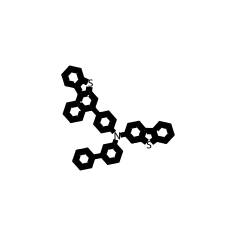 c1ccc(-c2cccc(N(c3ccc(-c4cc5sc6ccccc6c5c5ccccc45)cc3)c3ccc4c(c3)sc3ccccc34)c2)cc1